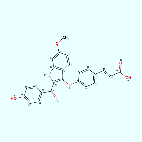 COc1ccc2c(Oc3ccc(/C=C/C(=O)O)cc3)c(C(=O)c3ccc(O)cc3)sc2c1